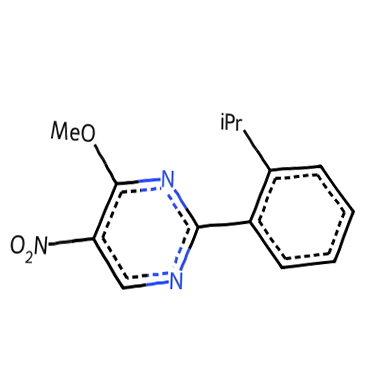 COc1nc(-c2ccccc2C(C)C)ncc1[N+](=O)[O-]